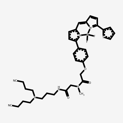 CN(CC(=O)NCCCN(CCCC#N)CCCC#N)C(=O)COc1ccc(-c2ccc3n2[B-](F)(F)[N+]2=C(c4cccs4)C=CC2=C3)cc1